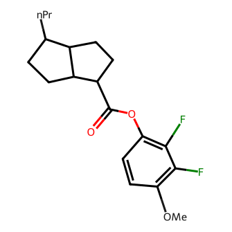 CCCC1CCC2C(C(=O)Oc3ccc(OC)c(F)c3F)CCC12